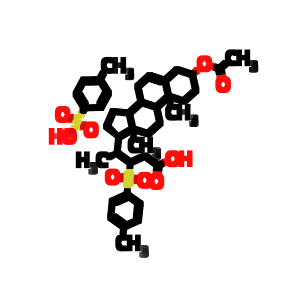 CC(=O)O[C@H]1CC[C@@]2(C)C(=CCC3C2CC[C@@]2(C)C3CC[C@@H]2[C@H](C)C(CC(=O)O)S(=O)(=O)c2ccc(C)cc2)C1.Cc1ccc(S(=O)(=O)O)cc1